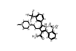 CN1CCN(CCc2c(-c3cccc(C(F)(F)F)c3)[nH]c(-c3ccccc3[N+](=O)[O-])c2C(N)=O)CC1